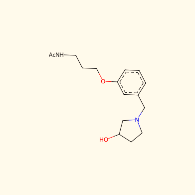 CC(=O)NCCCOc1cccc(CN2CCC(O)C2)c1